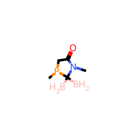 BC1(B)N(C)C(=O)CP1C